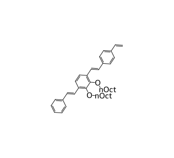 C=Cc1ccc(C=Cc2ccc(C=Cc3ccccc3)c(OCCCCCCCC)c2OCCCCCCCC)cc1